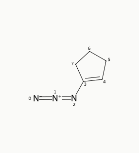 [N-]=[N+]=NC1=CCCC1